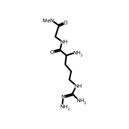 CNC(=O)CNC(=O)C(N)CCCNC(N)=NN